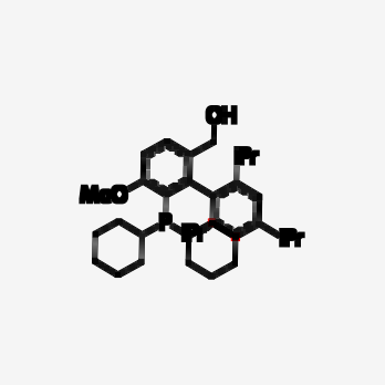 COc1ccc(CO)c(-c2c(C(C)C)cc(C(C)C)cc2C(C)C)c1P(C1CCCCC1)C1CCCCC1